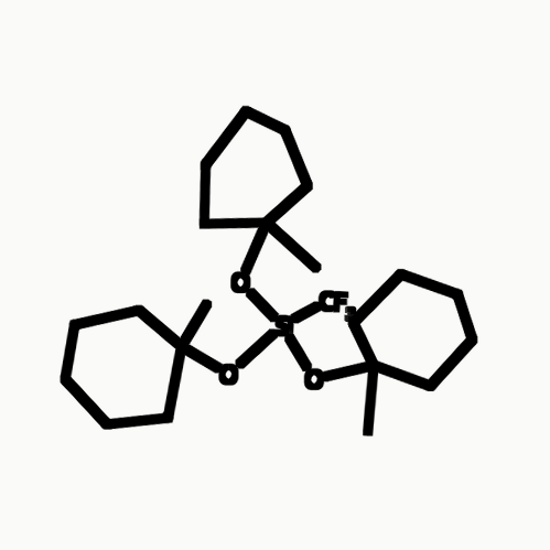 CC1(O[Si](OC2(C)CCCCC2)(OC2(C)CCCCC2)C(F)(F)F)CCCCC1